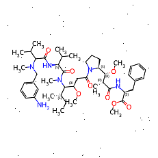 CC[C@H](C)C([C@@H](CC(=O)N1CCC[C@H]1[C@H](OC)[C@@H](C)C(=O)N[C@@H](Cc1ccccc1)C(=O)OC)OC)N(C)C(=O)[C@@H](NC(=O)C(C(C)C)N(C)Cc1cccc(N)c1)C(C)C